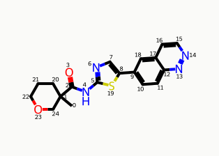 CC1(C(=O)Nc2ncc(-c3ccc4nnccc4c3)s2)CCCOC1